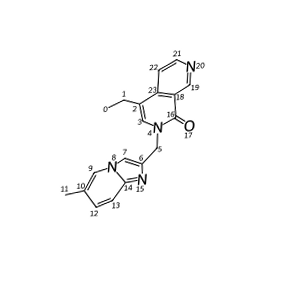 CCc1cn(Cc2cn3cc(C)ccc3n2)c(=O)c2cnccc12